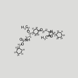 CCOC(CCNC(=O)OCc1ccccc1)c1ccc(OCCc2nc(-c3ccccc3)oc2C)cc1